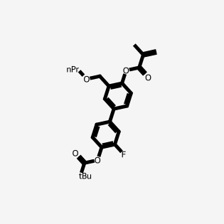 C=C(C)C(=O)Oc1ccc(-c2ccc(OC(=O)C(C)(C)C)c(F)c2)cc1COCCC